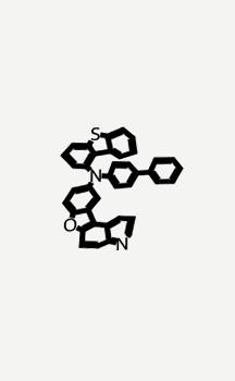 c1ccc(-c2ccc(N(c3ccc4oc5ccc6ncccc6c5c4c3)c3cccc4sc5ccccc5c34)cc2)cc1